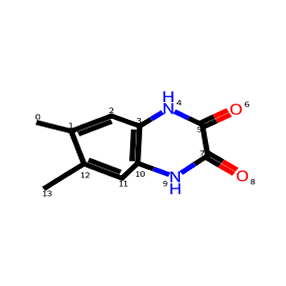 Cc1cc2[nH]c(=O)c(=O)[nH]c2cc1C